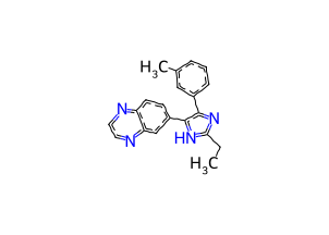 CCc1nc(-c2cccc(C)c2)c(-c2ccc3nccnc3c2)[nH]1